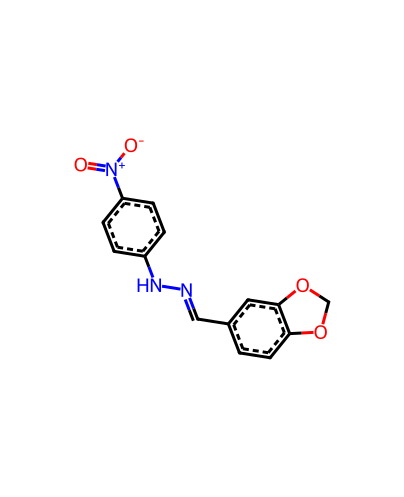 O=[N+]([O-])c1ccc(NN=Cc2ccc3c(c2)OCO3)cc1